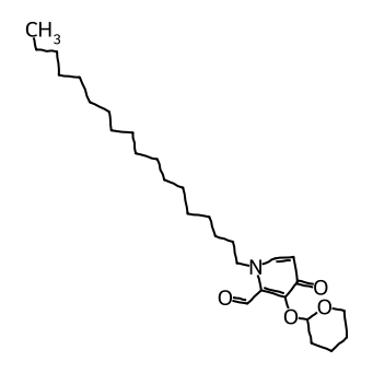 CCCCCCCCCCCCCCCCCCn1ccc(=O)c(OC2CCCCO2)c1C=O